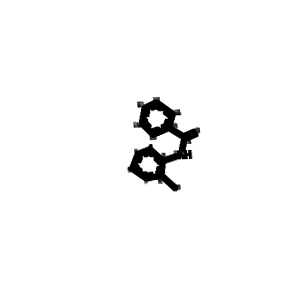 C=C(Nc1ccccc1C)c1ccccc1